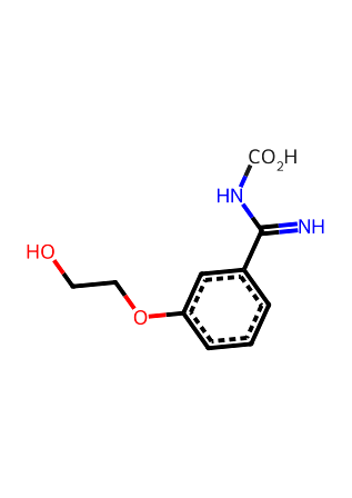 N=C(NC(=O)O)c1cccc(OCCO)c1